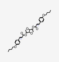 CCCCOc1ccc(/C=C/C(=O)O[C@@H]2COC3C2OC[C@H]3OC(=O)/C=C/c2ccc(OCCCC)cc2)cc1